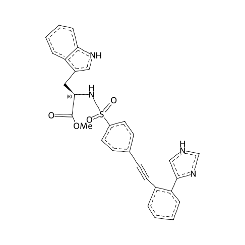 COC(=O)[C@@H](Cc1c[nH]c2ccccc12)NS(=O)(=O)c1ccc(C#Cc2ccccc2-c2c[nH]cn2)cc1